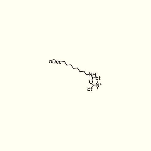 CCCCCCCCCCCCCCCCCCNC(CC)OC(CC)[N+](C)(C)C